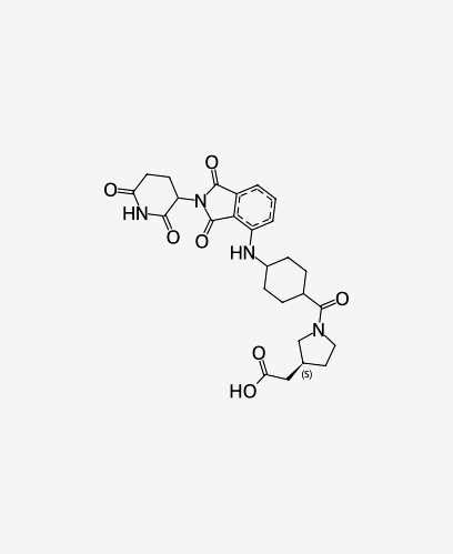 O=C(O)C[C@@H]1CCN(C(=O)C2CCC(Nc3cccc4c3C(=O)N(C3CCC(=O)NC3=O)C4=O)CC2)C1